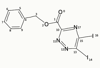 O=C(OCc1ccccc1)c1nnc(I)c(I)n1